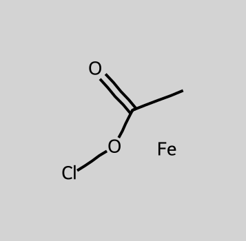 CC(=O)OCl.[Fe]